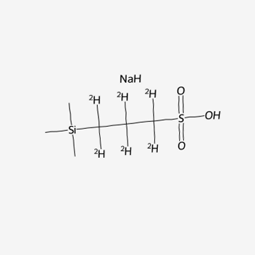 [2H]C([2H])(C([2H])([2H])[Si](C)(C)C)C([2H])([2H])S(=O)(=O)O.[NaH]